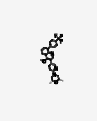 COc1c(-c2ccc(N3C[C@@H](C)O[C@@H](C)C3)nc2)cnc2c(-c3ccc(C(F)(F)F)cc3)cccc12